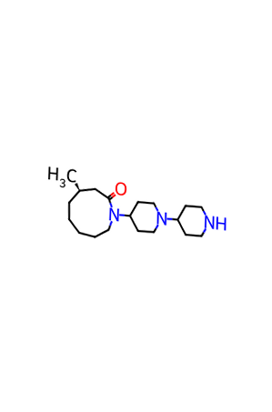 C[C@@H]1CCCCCN(C2CCN(C3CCNCC3)CC2)C(=O)C1